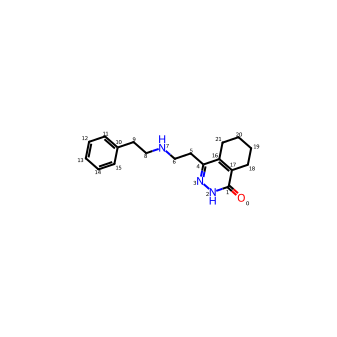 O=c1[nH]nc(CCNCCc2ccccc2)c2c1CCCC2